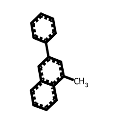 Cc1cc(-c2ccccc2)cc2ccccc12